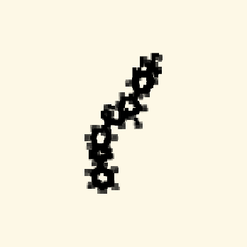 C[C@@H]1CN(c2ccc(C(F)(F)F)nc2)C[C@H](C)N1CC(=O)N1CCc2nc(-c3ccccc3)sc2C1